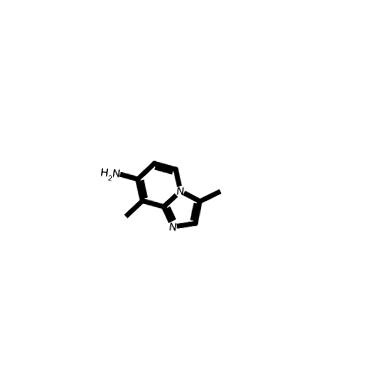 Cc1c(N)ccn2c(C)cnc12